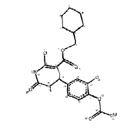 CCC1=C(C(=O)OCC2CCCCC2)C(c2ccc(OC(=O)C(C)(C)C)c(Cl)c2)NC(=O)N1